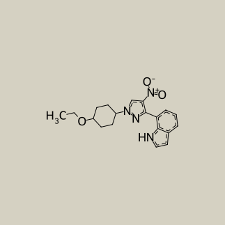 CCOC1CCC(n2cc([N+](=O)[O-])c(-c3cccc4cc[nH]c34)n2)CC1